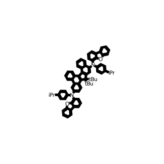 CC(C)c1ccc(N(c2ccc3c4c(c5ccccc5c3c2)-c2c(cc(N(c3ccc(C(C)C)cc3)c3cccc5c3oc3ccccc35)c3ccccc23)C4(C(C)(C)C)C(C)(C)C)c2cccc3c2oc2ccccc23)cc1